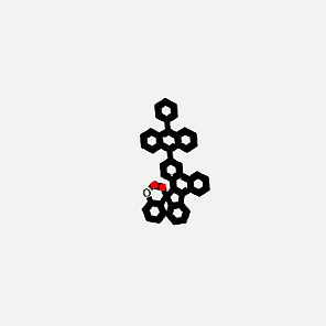 c1ccc(-c2c3ccccc3c(-c3ccc4c5c(c6ccccc6c4c3)-c3ccccc3C53c4ccccc4Oc4ccccc43)c3ccccc23)cc1